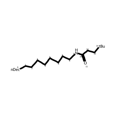 CCCCCCCCCCCCCCCCCCNC(=O)CCC(C)(C)C